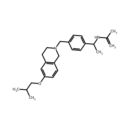 C=C(C)NC(C)c1ccc(CN2CCc3cc(OCC(C)C)ccc3C2)cc1